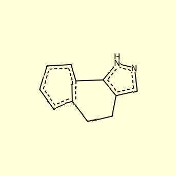 c1ccc2c(c1)CCc1cn[nH]c1-2